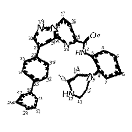 O=C(Nc1ccccc1N1CCNCC1)c1ccn2ncc(-c3ccc(-c4ccccc4)cc3)c2n1